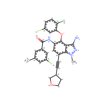 Cn1nc(N)c2c(Oc3cc(F)ccc3Cl)c(NC(=O)c3cc(F)cc(C(F)(F)F)c3)cc(C#CC3CCOC3)c21